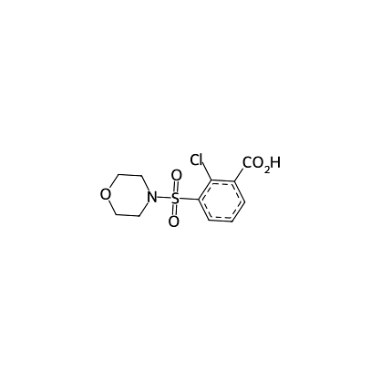 O=C(O)c1cccc(S(=O)(=O)N2CCOCC2)c1Cl